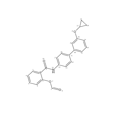 O=COc1ccccc1C(=O)Nc1ccc(-c2cccc(OC3CC3)c2)cc1